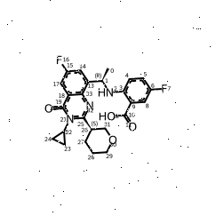 C[C@@H](Nc1ccc(F)cc1C(=O)O)c1cc(F)cc2c(=O)n(C3CC3)c([C@@H]3CCCOC3)nc12